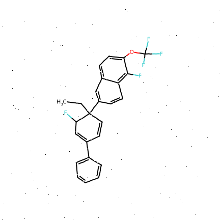 CCC1(c2ccc3c(F)c(OC(F)(F)F)ccc3c2)C=CC(c2ccccc2)=CC1F